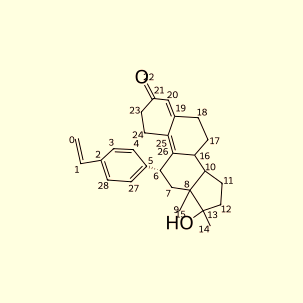 C=Cc1ccc([C@H]2CC3(C)C(CCC3(C)O)C3CCC4=CC(=O)CCC4=C32)cc1